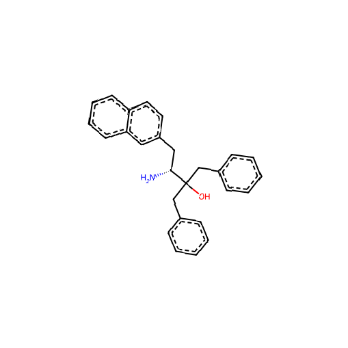 N[C@H](Cc1ccc2ccccc2c1)C(O)(Cc1ccccc1)Cc1ccccc1